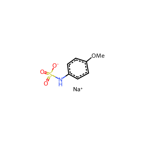 COc1ccc(NS(=O)(=O)[O-])cc1.[Na+]